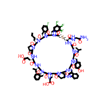 CCCC[C@H]1C(=O)N2CCC[C@@H]2C(=O)N[C@@H](CCC(=O)O)C(=O)N[C@@H](C(C)C)C(=O)N(C)[C@@H](Cc2ccccc2)C(=O)N[C@@H](CCC(=O)O)C(=O)N2CCCC[C@@H]2C(=O)N[C@@H](Cc2c[nH]c3ccccc23)C(=O)N[C@@H](Cc2ccc(O)cc2)C(=O)N[C@@H](CC(C)C)C(=O)N[C@H](C(=O)NCC(N)=O)CSCC(=O)N[C@@H](Cc2cc(F)c(F)c(F)c2)C(=O)N(C)[C@@H](Cc2ccc(F)cc2)C(=O)N1C